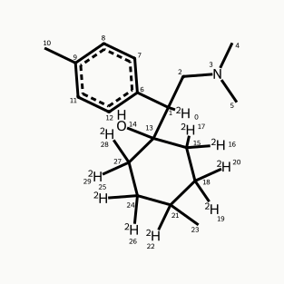 [2H]C(CN(C)C)(c1ccc(C)cc1)C1(O)C([2H])([2H])C([2H])([2H])C([2H])(C)C([2H])([2H])C1([2H])[2H]